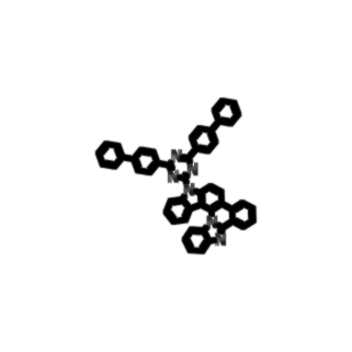 c1ccc(-c2ccc(-c3nc(-c4ccc(-c5ccccc5)cc4)nc(-n4c5ccccc5c5c4ccc4c6ccccc6c6nc7ccccc7n6c45)n3)cc2)cc1